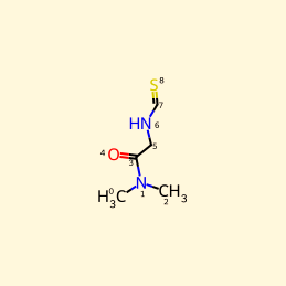 CN(C)C(=O)CNC=S